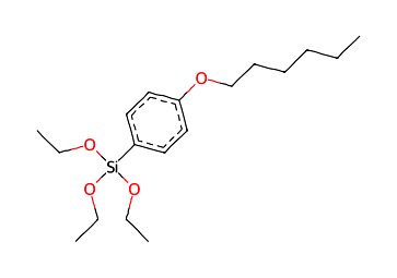 CCCCCCOc1ccc([Si](OCC)(OCC)OCC)cc1